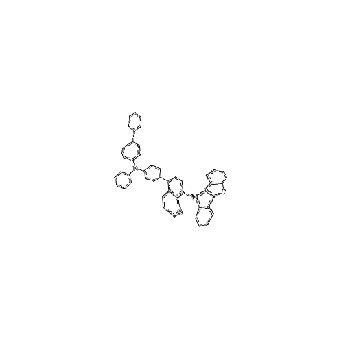 c1ccc(-c2ccc(N(c3ccccc3)c3ccc(-c4ccc(-n5c6ccccc6c6oc7ccccc7c65)c5ccccc45)cc3)cc2)cc1